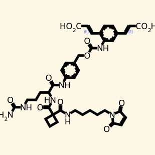 NC(=O)NCCCC(NC(=O)C1(C(=O)NCCCCCN2C(=O)C=CC2=O)CCC1)C(=O)Nc1ccc(COC(=O)Nc2cc(/C=C/C(=O)O)ccc2/C=C/C(=O)O)cc1